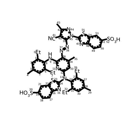 CCc1cc(C)cc(CC)c1Nc1nc(N(c2nc3ccc(S(=O)(=O)O)cc3s2)c2c(CC)cc(C)cc2CC)cc(C)c1N=Nc1c(C#N)c(C)nn1-c1nc2ccc(S(=O)(=O)O)cc2s1